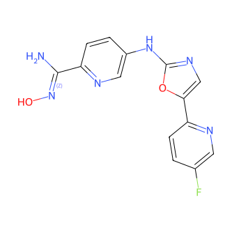 N/C(=N\O)c1ccc(Nc2ncc(-c3ccc(F)cn3)o2)cn1